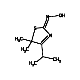 CC(C)C1=NC(=NO)SC1(C)C